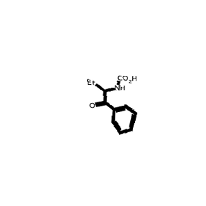 CCC(NC(=O)O)C(=O)c1ccccc1